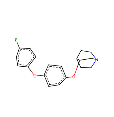 Fc1ccc(Oc2ccc(OC3CN4CCC3CC4)cc2)cc1